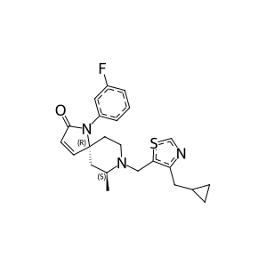 C[C@H]1C[C@@]2(C=CC(=O)N2c2cccc(F)c2)CCN1Cc1scnc1CC1CC1